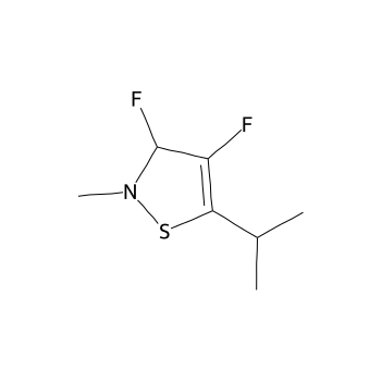 CC(C)C1=C(F)C(F)N(C)S1